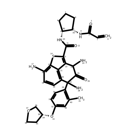 C=CC(=O)N[C@H]1CCC[C@H]1NC(=O)c1sc2c(N)ccc3c2c1C(N)C(=O)C3(N)c1ccc(O[C@@H]2CCOC2)cc1C